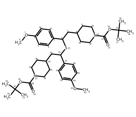 COc1ccc(C(CC2CCN(C(=O)OC(C)(C)C)CC2)SC(CC2CCN(C(=O)OC(C)(C)C)CC2)c2ccc(OC)cc2)cc1